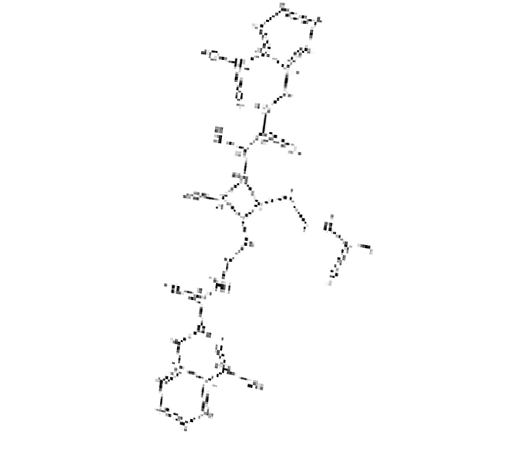 CC(=O)OCCC1C(CCNC(=O)OCc2ccccc2[N+](=O)[O-])C(=O)N1C(Cl)C(=O)OCc1ccccc1[N+](=O)[O-]